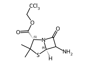 CC1(C)S[C@@H]2C(N)C(=O)N2[C@H]1C(=O)OCC(Cl)(Cl)Cl